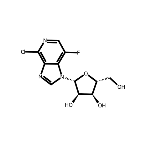 OC[C@H]1O[C@@H](n2cnc3c(Cl)ncc(F)c32)[C@H](O)[C@@H]1O